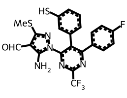 CSc1nn(-c2nc(C(F)(F)F)nc(-c3ccc(F)cc3)c2-c2cccc(S)c2)c(N)c1C=O